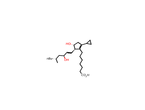 CCCC[C@@H](C)C[C@H](O)C=C[C@@H]1C(CCCCCCC(=O)O)=C(C2CC2)C[C@H]1O